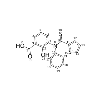 O=C(O)c1cccc(N(C(=S)c2cccs2)c2ccccc2)c1O